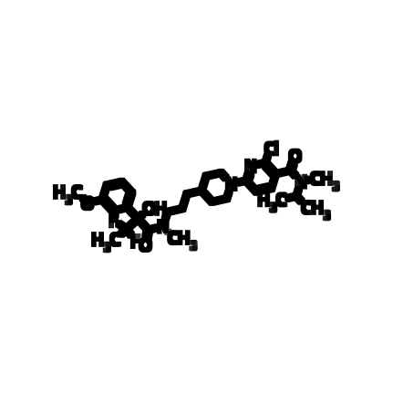 COc1cccc(C(O)(C(=O)N(C)CCCC2CCN(c3ccc(C(=O)N(C)C(C)C)c(Cl)n3)CC2)C(C)(F)F)c1